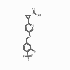 O=C(O)[C@H]1C[C@@H]1c1ccc(OCc2ccc(C(F)(F)F)c(Br)c2)cn1